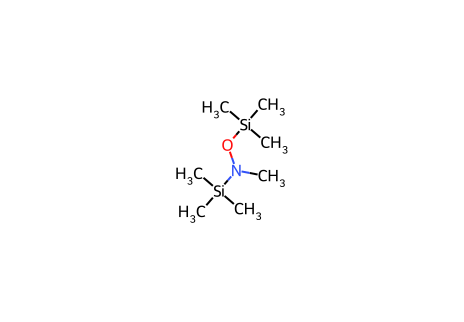 CN(O[Si](C)(C)C)[Si](C)(C)C